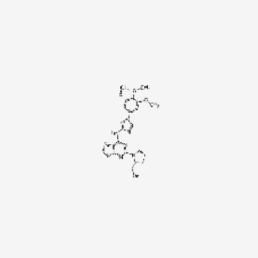 COc1cc(-n2cnc(Nc3nc(N4CCCC4CO)nc4ccsc34)c2)cc(OC)c1OC